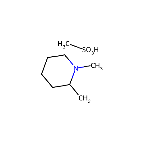 CC1CCCCN1C.CS(=O)(=O)O